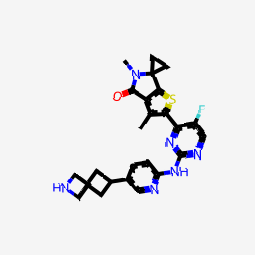 Cc1c(-c2nc(Nc3ccc(C4CC5(CNC5)C4)cn3)ncc2F)sc2c1C(=O)N(C)C21CC1